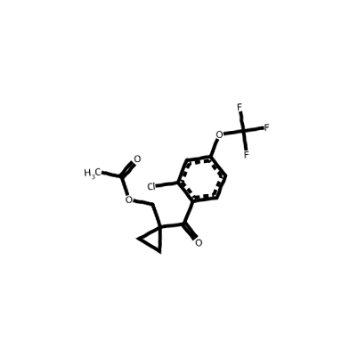 CC(=O)OCC1(C(=O)c2ccc(OC(F)(F)F)cc2Cl)CC1